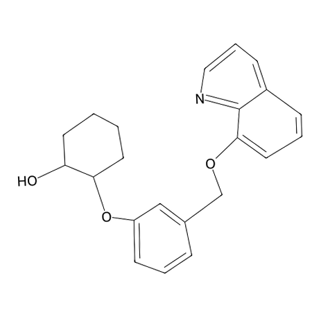 OC1CCCCC1Oc1cccc(COc2cccc3cccnc23)c1